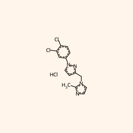 Cc1nccn1Cc1ccn(-c2ccc(Cl)c(Cl)c2)n1.Cl